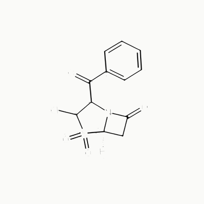 O=C(c1ccccc1)C1C(Cl)S(=O)(=O)[C@@H]2CC(=O)N12